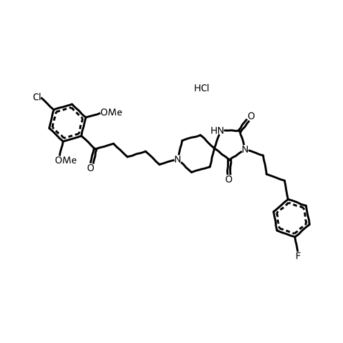 COc1cc(Cl)cc(OC)c1C(=O)CCCCN1CCC2(CC1)NC(=O)N(CCCc1ccc(F)cc1)C2=O.Cl